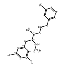 CC(C)c1cncc(CNC[C@H](O)[C@H](Cc2cc(F)cc(F)c2)NC(=O)O)c1